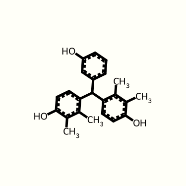 Cc1c(O)ccc(C(c2cccc(O)c2)c2ccc(O)c(C)c2C)c1C